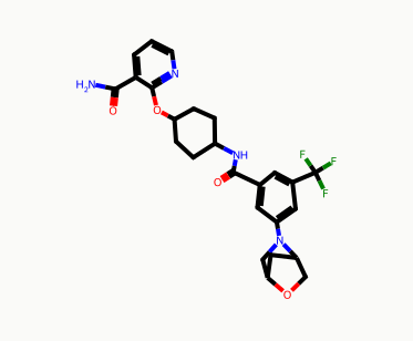 NC(=O)c1cccnc1OC1CCC(NC(=O)c2cc(N3CC4CC3CO4)cc(C(F)(F)F)c2)CC1